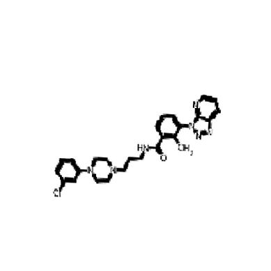 Cc1c(C(=O)NCCCN2CCN(c3cccc(Cl)c3)CC2)cccc1-n1nnc2cccnc21